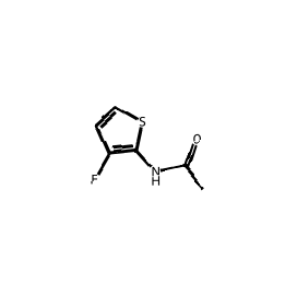 CC(=O)Nc1sccc1F